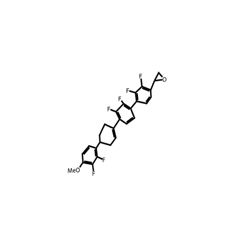 COc1ccc(C2CC=C(c3ccc(-c4ccc(C5CO5)c(F)c4F)c(F)c3F)CC2)c(F)c1F